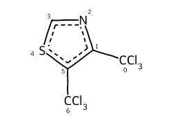 ClC(Cl)(Cl)c1ncsc1C(Cl)(Cl)Cl